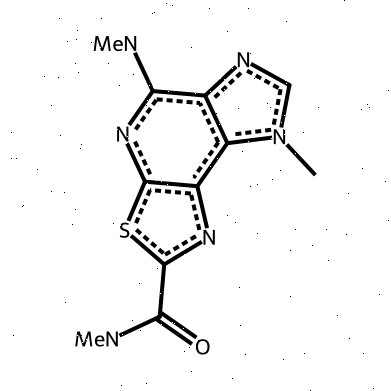 CNC(=O)c1nc2c(nc(NC)c3ncn(C)c32)s1